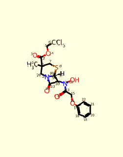 CC1(C(=O)OCC(Cl)(Cl)Cl)CS[C@@H]2C(N(O)C(=O)COc3ccccc3)C(=O)N2C1